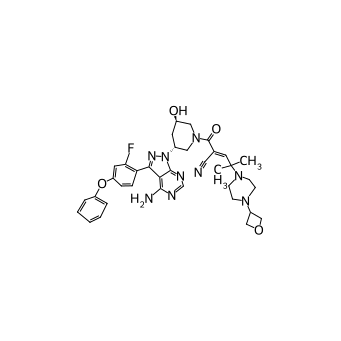 CC(C)(/C=C(\C#N)C(=O)N1C[C@H](O)C[C@@H](n2nc(-c3ccc(Oc4ccccc4)cc3F)c3c(N)ncnc32)C1)N1CCN(C2COC2)CC1